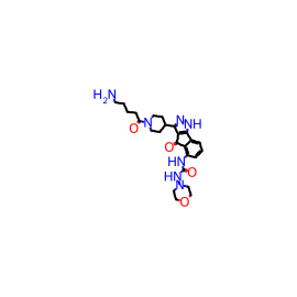 NCCCCC(=O)N1CCC(c2n[nH]c3c2C(=O)c2c(NC(=O)NN4CCOCC4)cccc2-3)CC1